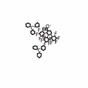 [O-]B([O-])c1ccc(-c2c(F)c(F)c(F)c(F)c2F)c(-c2c(F)c(F)c(F)c(F)c2F)c1-c1c(F)c(F)c(F)c(F)c1F.c1ccc([C+](c2ccccc2)c2ccccc2)cc1.c1ccc([C+](c2ccccc2)c2ccccc2)cc1